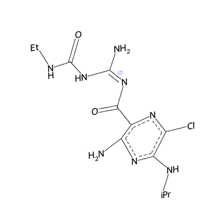 CCNC(=O)N/C(N)=N\C(=O)c1nc(Cl)c(NC(C)C)nc1N